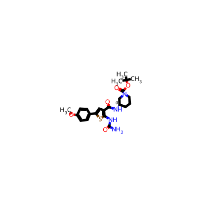 COc1ccc(-c2cc(C(=O)N[C@H]3CCCN(C(=O)OC(C)(C)C)C3)c(NC(N)=O)s2)cc1